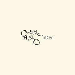 CCCCCCCCCCCCCC([SiH2]c1ccccc1)[SiH2]c1ccccc1